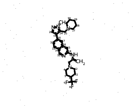 C=C(CN1CCC(C(F)(F)F)CC1)Nc1cc2cc(-c3cnn(C)c3CN3CCCCC3)ccc2cn1